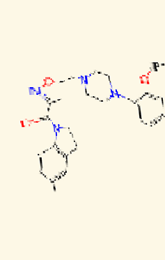 Cc1ccc2c(c1)CCN2C(=O)C1=NOC(CN2CCN(c3ccccc3OC(C)C)CC2)C1